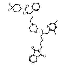 Cc1cnc(CN(CCCCN2C(=O)c3ccccc3C2=O)C[C@H]2CN(CC[C@H](NC(=O)C3CCC(F)(F)CC3)c3ccccc3)CCN2)c(C)c1